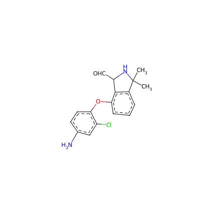 CC1(C)NC(C=O)c2c(Oc3ccc(N)cc3Cl)cccc21